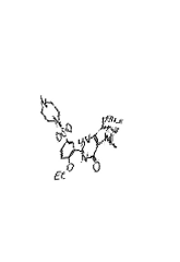 CCOc1ccc(S(=O)(=O)N2CCN(C)CC2)cc1-c1nc(=O)c2c([nH]1)c(C(C)(C)C)nn2C